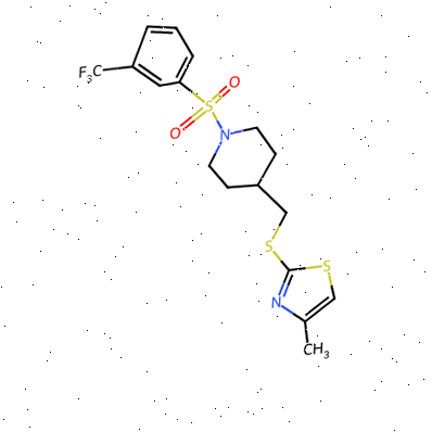 Cc1csc(SCC2CCN(S(=O)(=O)c3cccc(C(F)(F)F)c3)CC2)n1